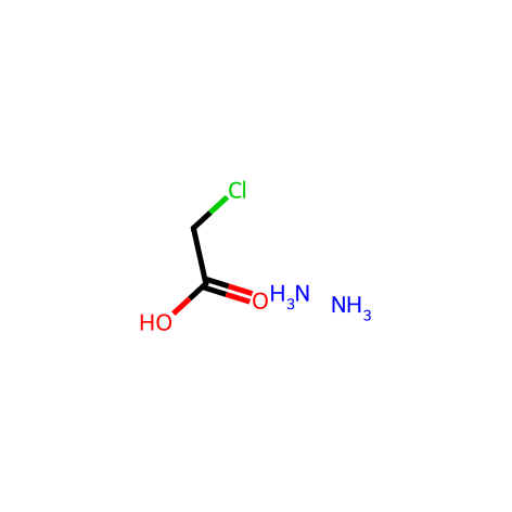 N.N.O=C(O)CCl